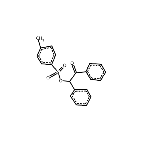 Cc1ccc(S(=O)(=O)OC(C(=O)c2ccccc2)c2ccccc2)cc1